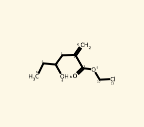 C=C(CC(O)CC)C(=O)OCCl